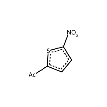 CC(=O)c1ccc([N+](=O)[O-])s1